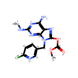 CCCCNc1nc(N)c2nc(OC(=O)OC(C)C)n(Cc3ccc(Cl)nc3)c2n1